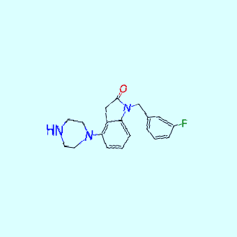 O=C1Cc2c(N3CCNCC3)cccc2N1Cc1cccc(F)c1